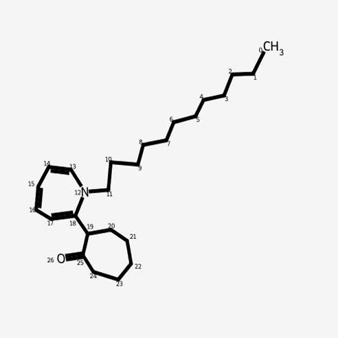 CCCCCCCCCCCCN1C=CC=CC=C1C1CCCCCC1=O